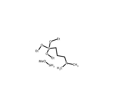 CCO[Si](CCCN(C)C)(OCC)OCC.CO[SiH3]